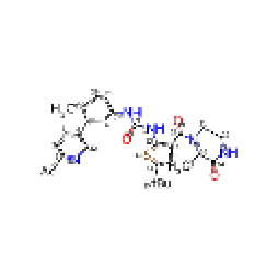 CC(=O)c1ccc(-c2cc(NC(=O)Nc3sc(C(C)(C)C)cc3C(=O)N3CCNC(=O)C3C)ccc2C)cn1